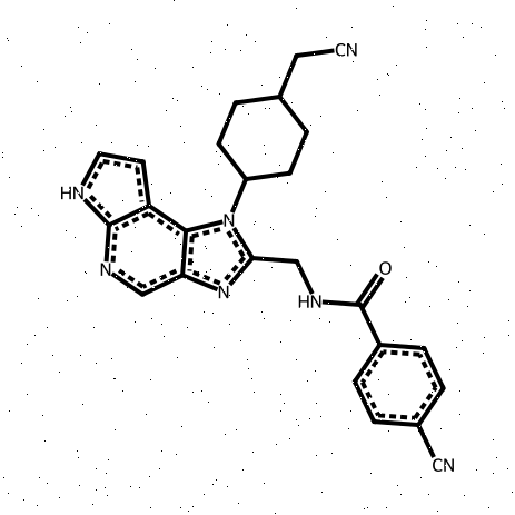 N#CCC1CCC(n2c(CNC(=O)c3ccc(C#N)cc3)nc3cnc4[nH]ccc4c32)CC1